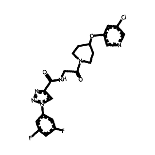 O=C(NCC(=O)N1CCC(Oc2cncc(Cl)c2)CC1)c1cn(-c2cc(F)cc(F)c2)nn1